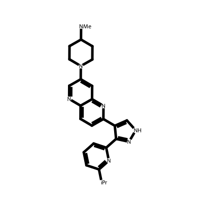 CNC1CCN(c2cnc3ccc(-c4c[nH]nc4-c4cccc(C(C)C)n4)nc3c2)CC1